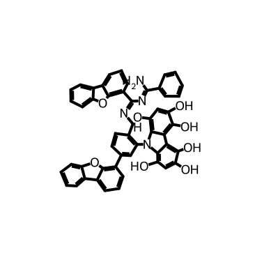 N/C(=N\C(=N/Cc1ccc(-c2cccc3c2oc2ccccc23)cc1-n1c2c(O)cc(O)c(O)c2c2c(O)c(O)cc(O)c21)c1cccc2c1oc1ccccc12)c1ccccc1